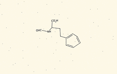 O=CNC(CCc1ccccc1)C(=O)O